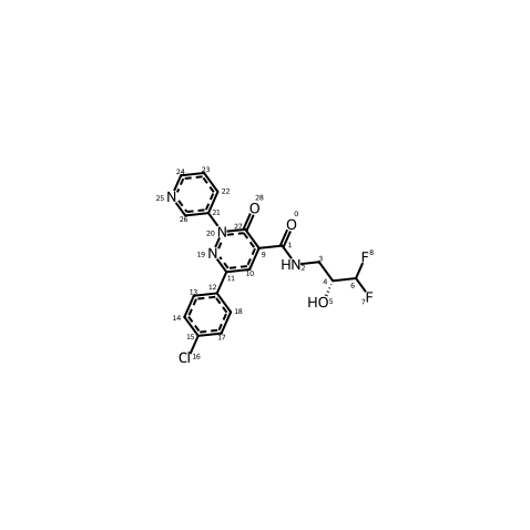 O=C(NC[C@@H](O)C(F)F)c1cc(-c2ccc(Cl)cc2)nn(-c2cccnc2)c1=O